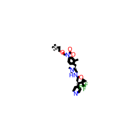 Cc1c(C[C@@H](CNC(=O)C[C@H](c2ccncc2)C2(C(F)(F)F)CC2)N(C)C)ccc2c1oc(=O)n2COCC[Si](C)(C)C